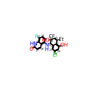 CC[C@@H]1C[C@@](O)(C(F)(F)F)[C@@H](Nc2ccc(F)c3[nH]c(=O)ccc23)c2cc(Cl)cc(O)c21